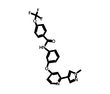 Cn1cc(-c2cc(Oc3cccc(NC(=O)c4ccc(OC(F)(F)F)cc4)c3)ccn2)cn1